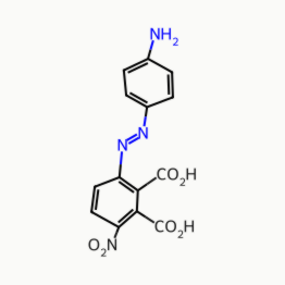 Nc1ccc(/N=N/c2ccc([N+](=O)[O-])c(C(=O)O)c2C(=O)O)cc1